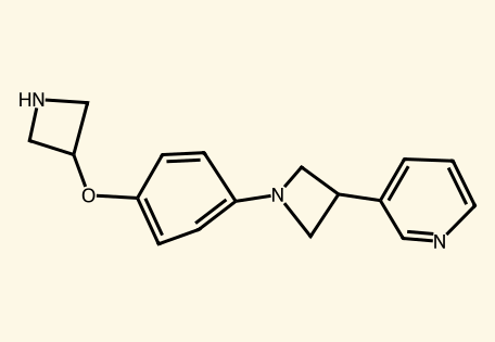 c1cncc(C2CN(c3ccc(OC4CNC4)cc3)C2)c1